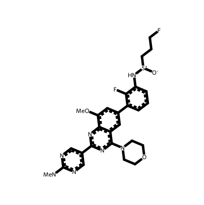 CNc1ncc(-c2nc(N3CCOCC3)c3cc(-c4cccc(N[S+]([O-])CCCF)c4F)cc(OC)c3n2)cn1